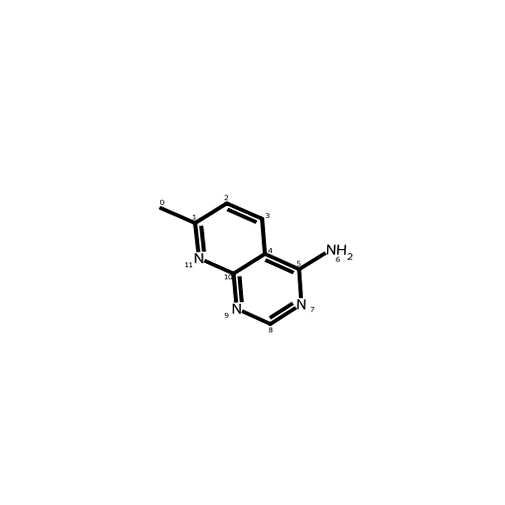 Cc1ccc2c(N)ncnc2n1